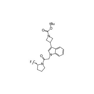 CC(C)(C)OC(=O)N1CC(c2cn(CC(=O)N3CCC[C@H]3C(F)(F)F)c3ccccc23)C1